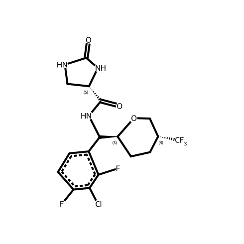 O=C1NC[C@@H](C(=O)NC(c2ccc(F)c(Cl)c2F)[C@@H]2CC[C@@H](C(F)(F)F)CO2)N1